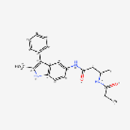 CC(C)CC(=O)NC(C)CC(=O)Nc1ccc2[nH]c(C(=O)O)c(-c3ccccc3)c2c1